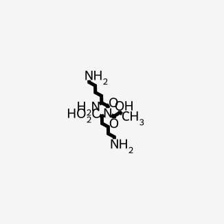 CC(O)C(=O)N(C(=O)C(N)CCCCN)C(CCCCN)C(=O)O